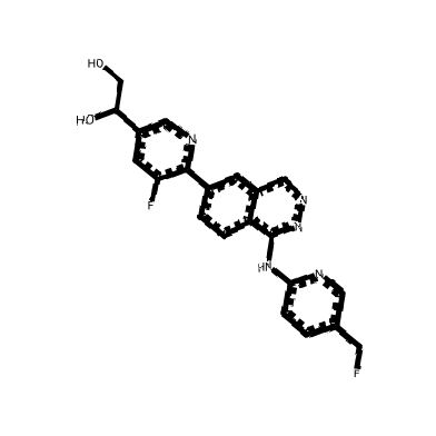 OCC(O)c1cnc(-c2ccc3c(Nc4ccc(CF)cn4)nncc3c2)c(F)c1